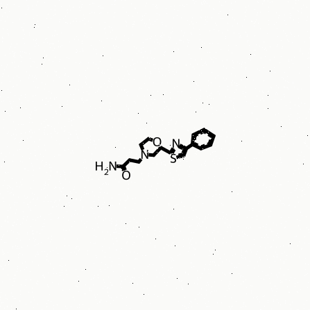 NC(=O)CCN1CCOC(c2nc(-c3ccccc3)cs2)C1